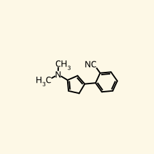 CN(C)C1=CCC(c2ccccc2C#N)=C1